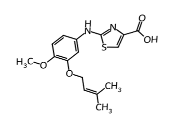 COc1ccc(Nc2nc(C(=O)O)cs2)cc1OCC=C(C)C